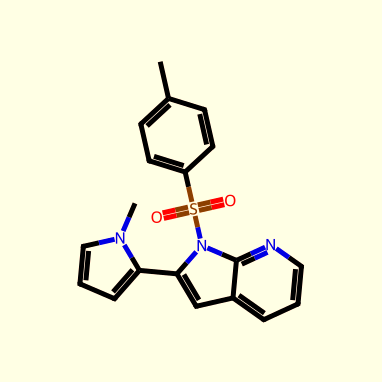 Cc1ccc(S(=O)(=O)n2c(-c3cccn3C)cc3cccnc32)cc1